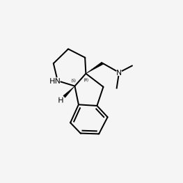 CN(C)C[C@]12CCCN[C@H]1c1ccccc1C2